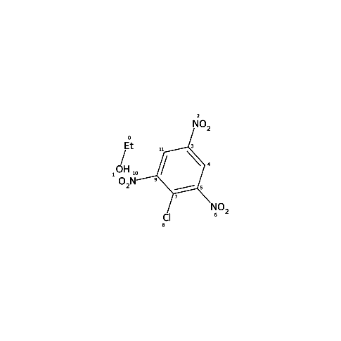 CCO.O=[N+]([O-])c1cc([N+](=O)[O-])c(Cl)c([N+](=O)[O-])c1